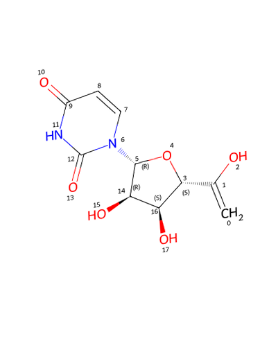 C=C(O)[C@H]1O[C@@H](n2ccc(=O)[nH]c2=O)[C@H](O)[C@@H]1O